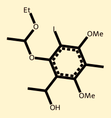 CCOC(C)Oc1c(I)c(OC)c(C)c(OC)c1C(C)O